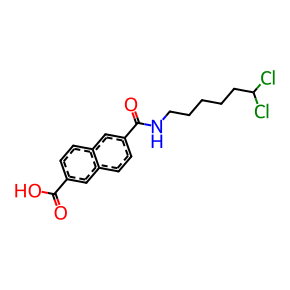 O=C(O)c1ccc2cc(C(=O)NCCCCCC(Cl)Cl)ccc2c1